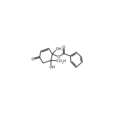 O=C1C=CC(O)(OC(=O)c2ccccc2)C(O)(C(=O)O)C1